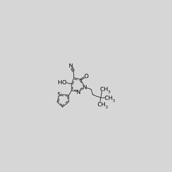 CC(C)(C)CCn1nc(-c2cccs2)c(O)c(C#N)c1=O